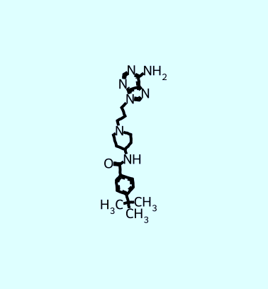 CC(C)(C)c1ccc(C(=O)NC2CCN(CCCn3cnc4c(N)ncnc43)CC2)cc1